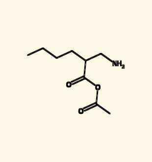 CCCCC(CN)C(=O)OC(C)=O